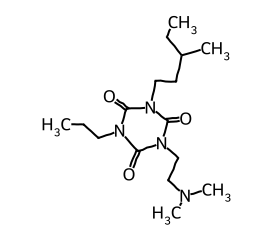 CCCn1c(=O)n(CCC(C)CC)c(=O)n(CCN(C)C)c1=O